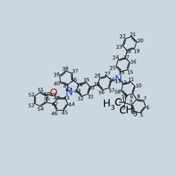 CC1(C)c2ccccc2-c2ccc(N(c3ccc(-c4ccccc4)cc3)c3ccc(-c4ccc5c(c4)c4ccccc4n5-c4cccc5c4oc4ccccc45)cc3)cc21